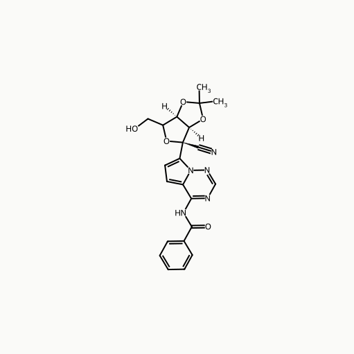 CC1(C)O[C@@H]2C(CO)O[C@@](C#N)(c3ccc4c(NC(=O)c5ccccc5)ncnn34)[C@@H]2O1